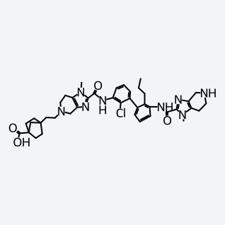 CCCc1c(NC(=O)c2nc3c(n2C)CCNC3)cccc1-c1cccc(NC(=O)c2nc3c(n2C)CCN(CCC24CCC(C(=O)O)(CC2)C4)C3)c1Cl